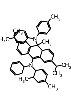 CC1=CC(C)C(N(C2=C3C=C(C(C)C)C=CC3C(C)(N(c3ccccc3)c3ccc(C)cc3)c3cc(C(C)C)ccc32)C2C=CC=CC2)C=C1